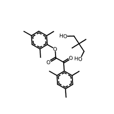 CC(C)(CO)CO.Cc1cc(C)c(OC(=O)C(=O)c2c(C)cc(C)cc2C)c(C)c1